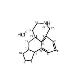 Cl.c1cc2c3c(c1)C1CCCC1CN3CCNC2